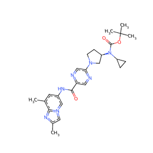 Cc1cn2cc(NC(=O)c3cnc(N4CC[C@@H](N(C(=O)OC(C)(C)C)C5CC5)C4)cn3)cc(C)c2n1